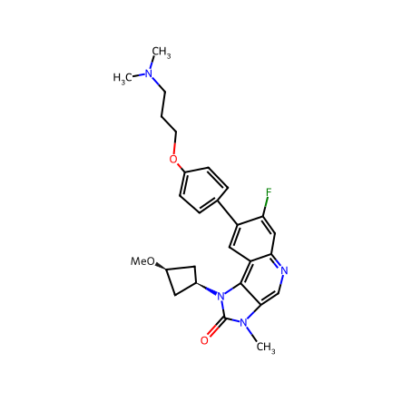 CO[C@H]1C[C@@H](n2c(=O)n(C)c3cnc4cc(F)c(-c5ccc(OCCCN(C)C)cc5)cc4c32)C1